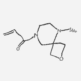 C=CC(=O)N1CCN(SC)C2(COC2)C1